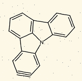 c1cc2c3cccc4c5ccccc5n(c2cc#1)c34